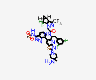 Cn1nc(NS(C)(=O)=O)c2cccc(-c3cc4sc(N5CCC(C)(N)CC5)nc4nc3C(Cc3cc(F)cc(F)c3)NC(=O)Cn3nc(C(F)(F)F)c4c3C(F)(F)[C@@H]3C[C@H]43)c21